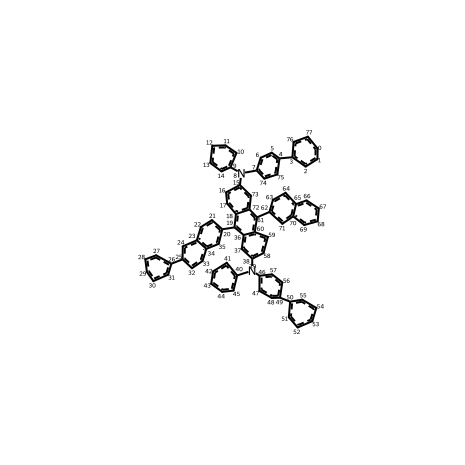 c1ccc(-c2ccc(N(c3ccccc3)c3ccc4c(-c5ccc6cc(-c7ccccc7)ccc6c5)c5cc(N(c6ccccc6)c6ccc(-c7ccccc7)cc6)ccc5c(-c5ccc6ccccc6c5)c4c3)cc2)cc1